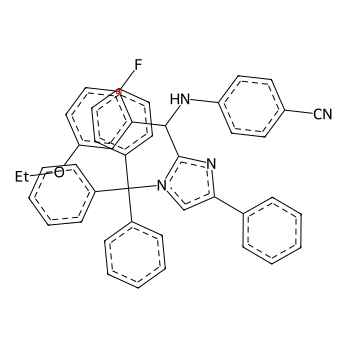 CCOc1ccc(F)c(C(Nc2ccc(C#N)cc2)c2nc(-c3ccccc3)cn2C(c2ccccc2)(c2ccccc2)c2ccccc2)c1